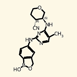 Cc1cnc(Nc2ccc3c(c2)COB3O)nc1N[C@@H]1COCC[C@H]1C#N